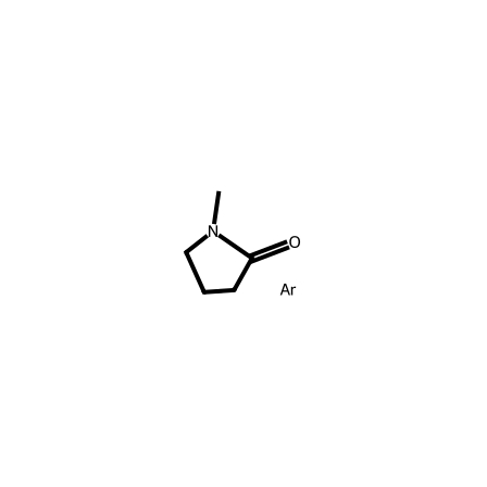 CN1CCCC1=O.[Ar]